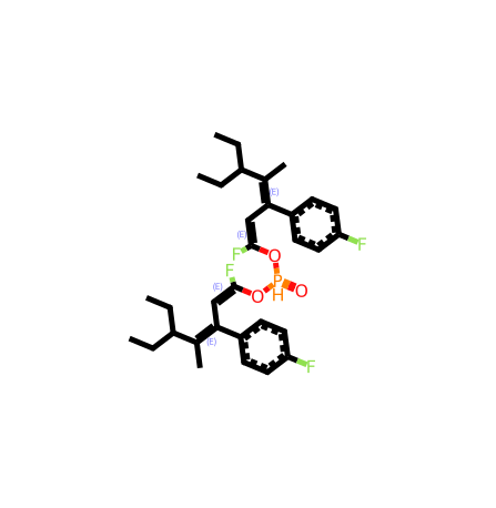 CCC(CC)/C(C)=C(\C=C(\F)O[PH](=O)O/C(F)=C\C(=C(\C)C(CC)CC)c1ccc(F)cc1)c1ccc(F)cc1